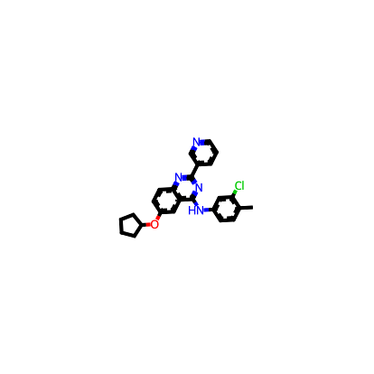 Cc1ccc(Nc2nc(-c3cccnc3)nc3ccc(OC4CCCC4)cc23)cc1Cl